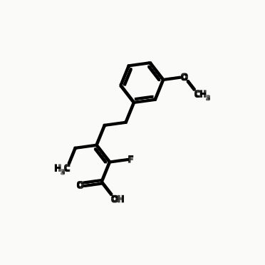 CCC(CCc1cccc(OC)c1)=C(F)C(=O)O